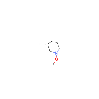 [CH2]C1CCCN(OC)C1